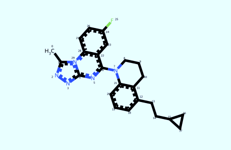 Cc1nnc2nc(N3CCCc4c(CCC5CC5)cccc43)c3cc(F)ccc3n12